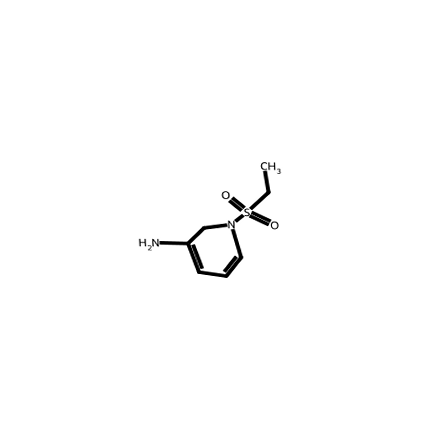 CCS(=O)(=O)N1C=CC=C(N)C1